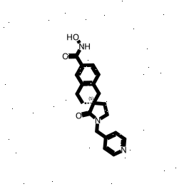 O=C(NO)c1ccc2c(c1)CC[C@@]1(CCN(Cc3ccncc3)C1=O)C2